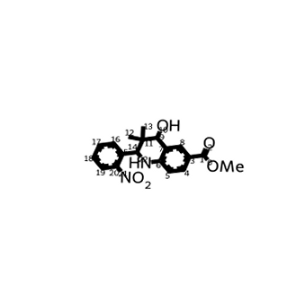 COC(=O)c1ccc2c(c1)C(O)C(C)(C)C(c1ccccc1[N+](=O)[O-])N2